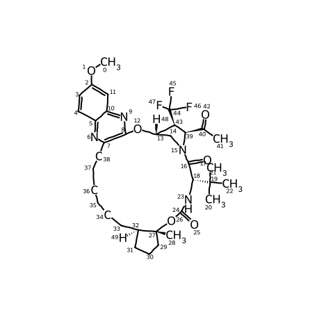 COc1ccc2nc3c(nc2c1)O[C@H]1CN(C(=O)[C@H](C(C)(C)C)NC(=O)O[C@]2(C)CCC[C@H]2CCCCCC3)[C@H](C(C)=O)[C@@H]1C(F)(F)F